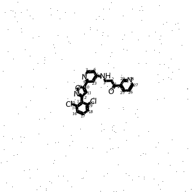 O=C(CCNc1ccnc(-c2cc(-c3c(Cl)cccc3Cl)no2)c1)c1cccnc1